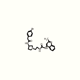 Cc1cc(NC(=O)NCCN2CCC(NC(=O)Cc3ccc(Br)cc3)C2)c2ccccc2n1